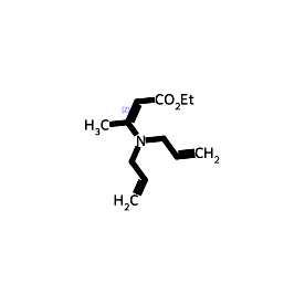 C=CCN(CC=C)/C(C)=C\C(=O)OCC